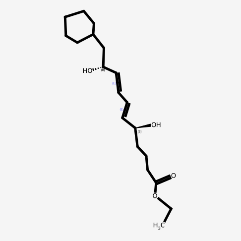 CCOC(=O)CCC[C@H](O)/C=C/C=C/[C@H](O)CC1CCCCC1